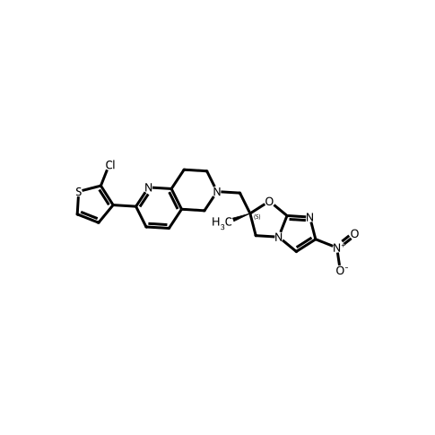 C[C@]1(CN2CCc3nc(-c4ccsc4Cl)ccc3C2)Cn2cc([N+](=O)[O-])nc2O1